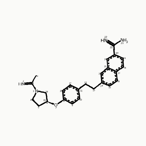 CC(=N)N1CC[C@H](Oc2ccc(CCc3ccc4ccc(C(=N)N)cc4c3)cc2)C1